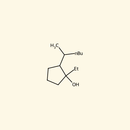 CCCCC(C)C1CCCC1(O)CC